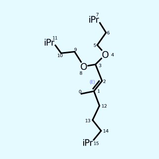 C/C(=C\C(OCCC(C)C)OCCC(C)C)CCCC(C)C